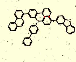 c1ccc(-c2ccc(N(c3ccc(-c4ccc5oc6ccccc6c5c4)cc3)c3cc(-c4cccc5c4ccc4ccccc45)ccc3-c3ccccc3)cc2)cc1